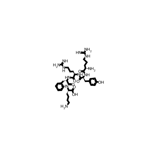 N=C(N)NCCC[C@H](N)C(=O)N[C@@H](Cc1ccc(O)cc1)C(=O)N[C@H](CCCNC(=N)N)C(=O)N[C@@H](Cc1ccccc1)C(=O)N[C@@H](CCCCN)C(=O)O